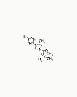 CC1CN(C(=O)OC(C)(C)C)CCN1c1ncc(Br)cn1